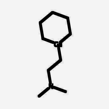 CN(C)C[CH2][Ga]1[CH2]CCC[CH2]1